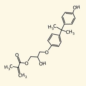 C=C(C)C(=O)OCC(O)COc1ccc(C(C)(C)c2ccc(O)cc2)cc1